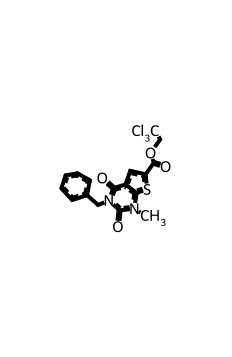 Cn1c(=O)n(Cc2ccccc2)c(=O)c2cc(C(=O)OCC(Cl)(Cl)Cl)sc21